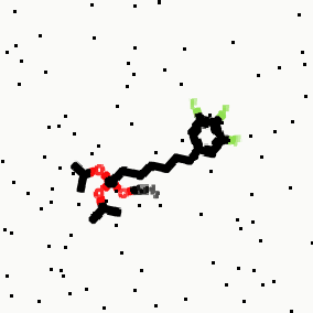 CC(C)OC(CCCCCCc1cc(F)c(F)c(F)c1)(O[SiH3])OC(C)C